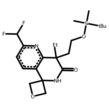 CCC1(CCO[Si](C)(C)C(C)(C)C)C(=O)NC2(COC2)c2ccc(C(F)F)nc21